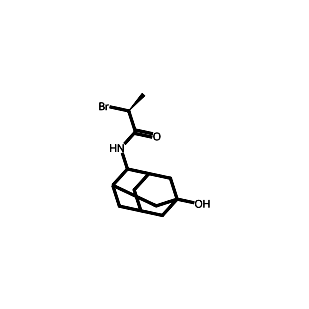 C[C@H](Br)C(=O)NC1C2CC3CC1CC(O)(C3)C2